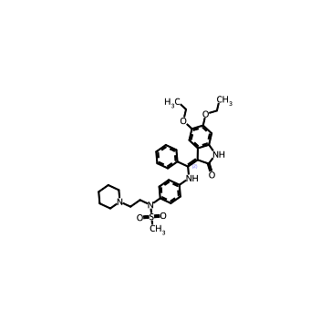 CCOc1cc2c(cc1OCC)/C(=C(/Nc1ccc(N(CCN3CCCCC3)S(C)(=O)=O)cc1)c1ccccc1)C(=O)N2